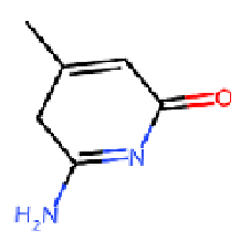 CC1=CC(=O)N=C(N)C1